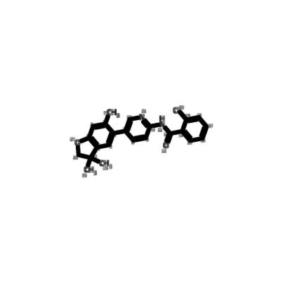 Cc1cc2c(cc1-c1ccc(NC(=O)c3ccccc3Cl)nc1)C(C)(C)CO2